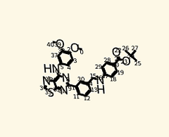 COc1ccc(Nc2nc(-c3cccc(CNc4ccc(C(=O)OC(C)(C)C)cc4)c3)nc3scnc23)cc1OC